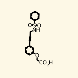 O=C(O)COc1cccc(C#CCNS(=O)(=O)c2ccccc2)c1